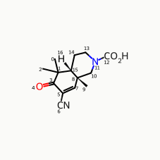 CC1(C)C(=O)C(C#N)=C[C@@]2(C)CN(C(=O)O)CC[C@@H]12